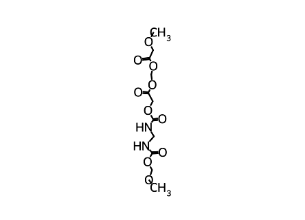 COCOC(=O)NCNC(=O)OCC(=O)OCOC(=O)COC